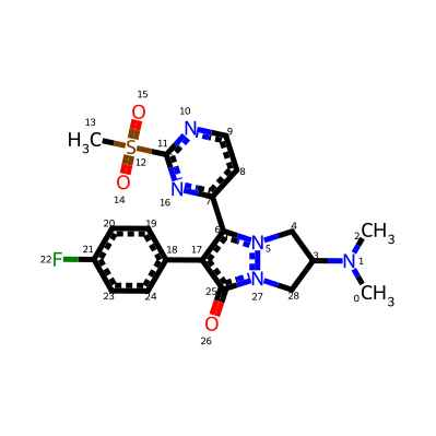 CN(C)C1Cn2c(-c3ccnc(S(C)(=O)=O)n3)c(-c3ccc(F)cc3)c(=O)n2C1